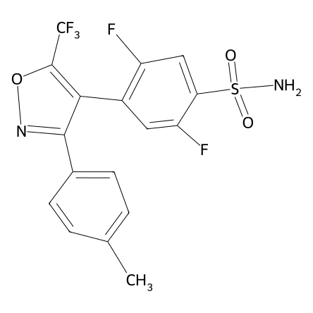 Cc1ccc(-c2noc(C(F)(F)F)c2-c2cc(F)c(S(N)(=O)=O)cc2F)cc1